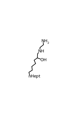 CCCCCCCCCCCCC(O)CNCCN